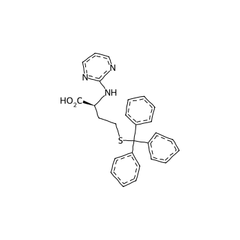 O=C(O)[C@H](CCSC(c1ccccc1)(c1ccccc1)c1ccccc1)Nc1ncccn1